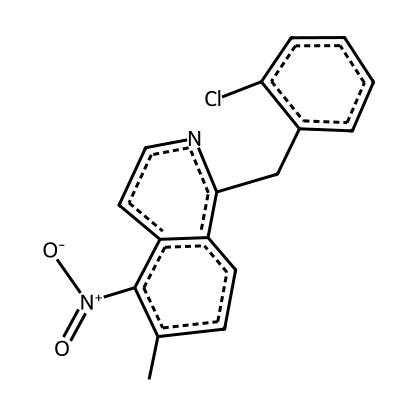 Cc1ccc2c(Cc3ccccc3Cl)nccc2c1[N+](=O)[O-]